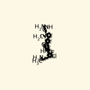 C=CCN1[C@H](CCOC(=N)N)CCC[C@H]1c1ccc(-n2cc3cc(-c4cc(CCC[C@H](C)N)cc(Cl)c4F)[nH]c3nc2=O)cc1